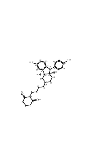 O=C1CCCC(=O)N1CCCCN1CC[C@@H]2[C@@H](C1)c1cc(F)ccc1N2c1ccc(F)cc1